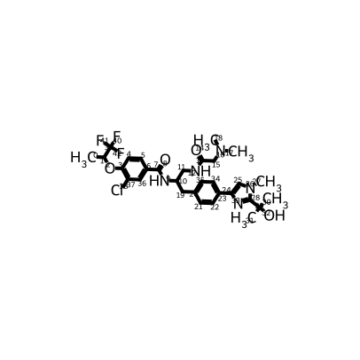 CC(Oc1ccc(C(=O)NC(CNC(=O)CN(C)C)Cc2ccc(-c3cn(C)c(C(C)(C)O)n3)cc2)cc1Cl)C(F)(F)F